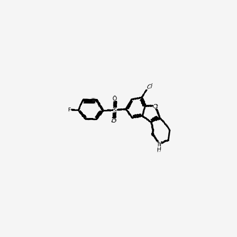 O=S(=O)(c1ccc(F)cc1)c1cc(Cl)c2oc3c(c2c1)CNCC3